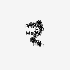 CO[C@@]1(c2ccc(-c3cc4c(N5CCN(C(=O)NCCCC(C)N6CC[C@@](OC)(c7ccc(-c8cc9c(N%10CCN(C(=O)NC(C)C)CC%10)ccnn9c8)cc7)C6)CC5)ccnn4c3)cc2)CCCN(C(C)C)C1